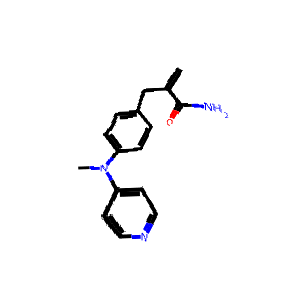 C=C(Cc1ccc(N(C)c2ccncc2)cc1)C(N)=O